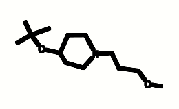 COCCCN1CCC(OC(C)(C)C)CC1